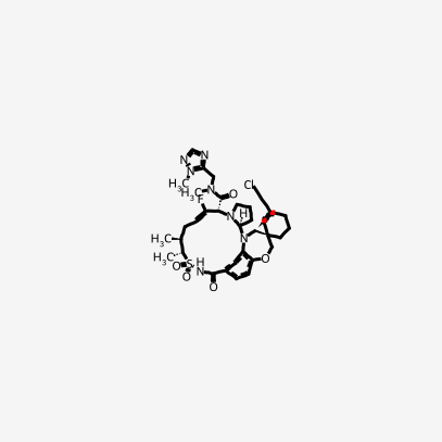 C[C@@H]1[C@@H](C)C/C=C(\F)[C@H](C(=O)N(C)Cc2ncnn2C)N2CCC[C@H]2N2C[C@@]3(CCCc4cc(Cl)ccc43)COc3ccc(cc32)C(=O)NS1(=O)=O